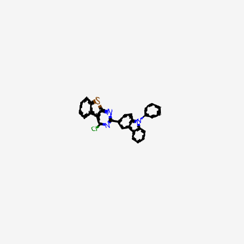 Clc1nc(-c2ccc3c(c2)c2ccccc2n3-c2ccccc2)nc2sc3ccccc3c12